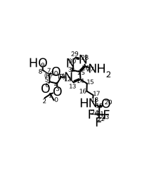 CC1(C)OC2C(O1)[C@@H](CO)O[C@H]2n1cc(CCCNC(=O)C(F)(F)F)c2c(N)ncnc21